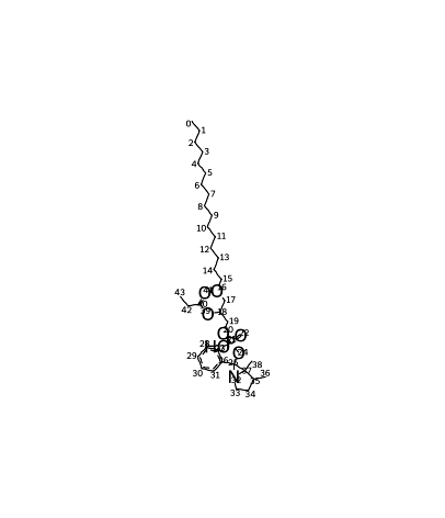 CCCCCCCCCCCCCCCCOCC(COP(=O)(O)OC1(c2ccccc2)N2CCC(C)C21C)OC(=O)CC